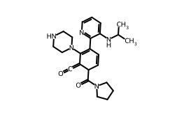 CC(C)Nc1cccnc1C1=C(N2CCNCC2)C(=C=O)C(C(=O)N2CCCC2)C=C1